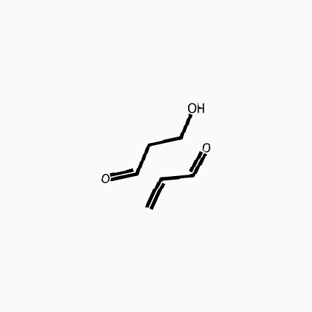 C=CC=O.O=CCCO